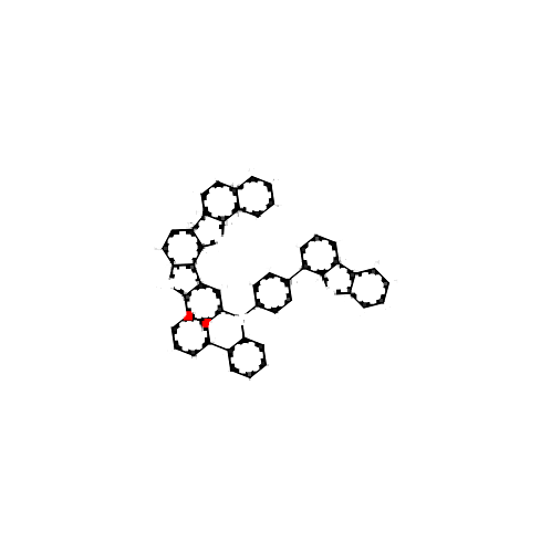 c1ccc(-c2ccccc2N(c2ccc(-c3cccc4c3oc3ccccc34)cc2)c2ccc3sc4ccc5c6ccc7ccccc7c6oc5c4c3c2)cc1